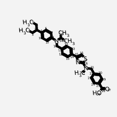 CCC(CC)c1ccc(N(Cc2ccc(-c3csc(N(C)Cc4ccc(C(=O)O)cc4)n3)cc2)C(C)C)cc1